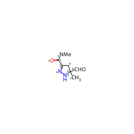 CNC(=O)C1=NNC(C)(C=O)C1